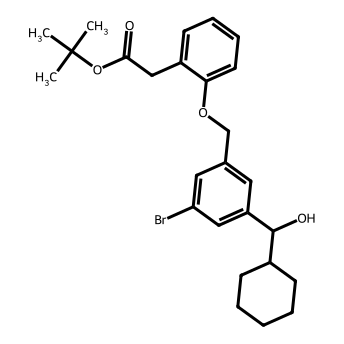 CC(C)(C)OC(=O)Cc1ccccc1OCc1cc(Br)cc(C(O)C2CCCCC2)c1